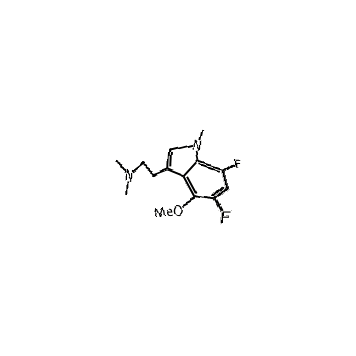 COc1c(F)cc(F)c2c1c(CCN(C)C)cn2C